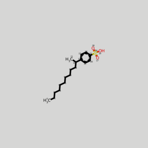 CCCCCCCCCCC(C)c1ccc(S(=O)(=O)O)cc1